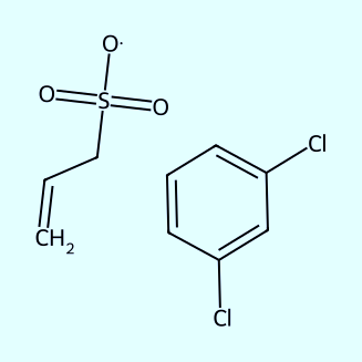 C=CCS([O])(=O)=O.Clc1cccc(Cl)c1